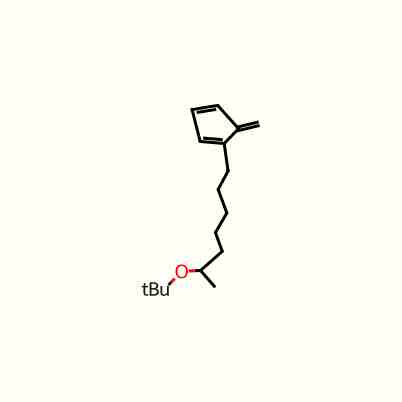 C=C1C=CC=C1CCCCCC(C)OC(C)(C)C